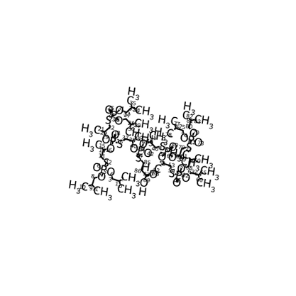 CC(C)COP(=O)(OCC(C)C)SCC(C)OP(=O)(OC(C)CSP(=O)(OCC(C)C)OCC(C)C)SCC(C)OP(=O)(OC(C)CSP(=O)(OC(C)CSP(=O)(OCC(C)C)OCC(C)C)OC(C)CSP(=O)(OCC(C)C)OCC(C)C)SCCC(=O)O